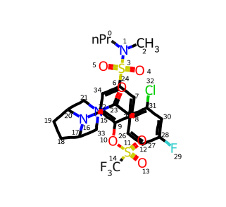 CCCN(C)S(=O)(=O)c1ccc(OS(=O)(=O)C(F)(F)F)c(N2C3CCC2CN(C(=O)c2ccc(F)cc2Cl)C3)c1